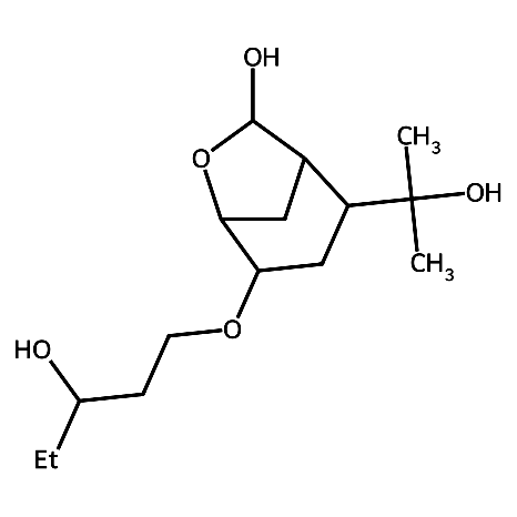 CCC(O)CCOC1CC(C(C)(C)O)C2CC1OC2O